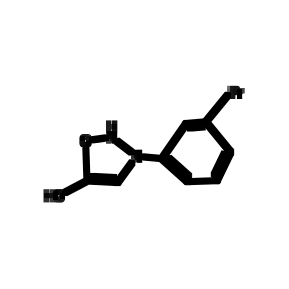 CC(C)c1cccc(N2C=C(O)ON2)c1